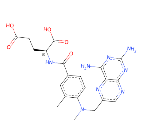 Cc1cc(C(=O)N[C@@H](CCC(=O)O)C(=O)O)ccc1N(C)Cc1cnc2nc(N)nc(N)c2n1